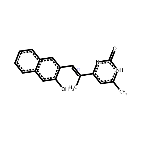 C/C(=C\c1cc2ccccc2cc1O)c1cc(C(F)(F)F)[nH]c(=O)n1